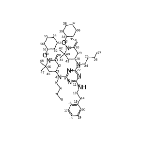 C=C1CC(N(CCCC)c2nc(NCCc3ccccc3)nc(N(CCCC)C3CC(=C)N(OC4CCCCC4)C(C)(C)C3)n2)CC(C)(C)N1OC1CCCCC1